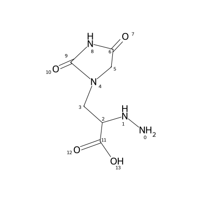 NNC(CN1CC(=O)NC1=O)C(=O)O